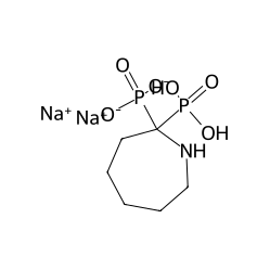 O=P([O-])([O-])C1(P(=O)(O)O)CCCCCN1.[Na+].[Na+]